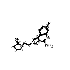 Nc1nc2cc(Br)ccc2c2cn(CCN3CCCC3=O)nc12